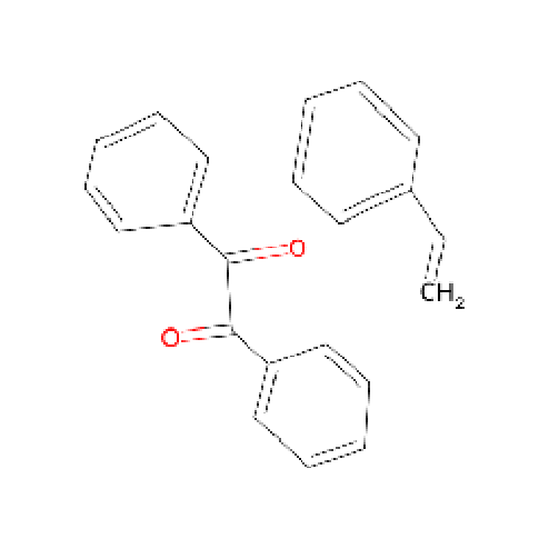 C=Cc1ccccc1.O=C(C(=O)c1ccccc1)c1ccccc1